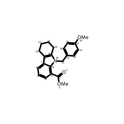 COC(=O)c1cccc2c3c(n(Cc4ccc(OC)cc4)c12)CCCC3